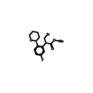 CC(C)(C)OC(=O)C(CBr)c1cc(F)ccc1[C@@H]1CCCCO1